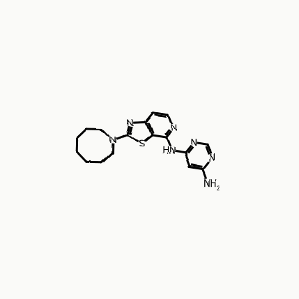 Nc1cc(Nc2nccc3nc(N4CCCCCCC4)sc23)ncn1